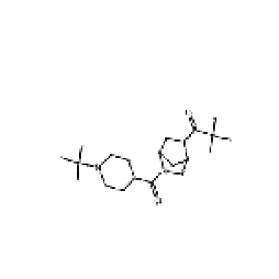 CC(C)(C)C(=O)C1CC2CC1CN2C(=O)C1CCN(C(C)(C)C)CC1